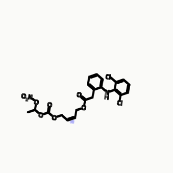 CC(OC(=O)OC/C=C\COC(=O)Cc1ccccc1Nc1c(Cl)cccc1Cl)O[N+](=O)[O-]